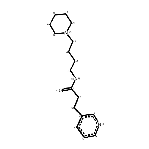 O=C(CCc1cccnc1)NCCCCN1CCCCC1